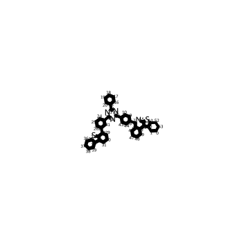 C1=Cc2c(sc3nc(-c4ccc(-c5nc(-c6ccccc6)nc(-c6cccc(-c7cccc8c7sc7ccccc78)c6)n5)cc4)c4ccccc4c23)CC1